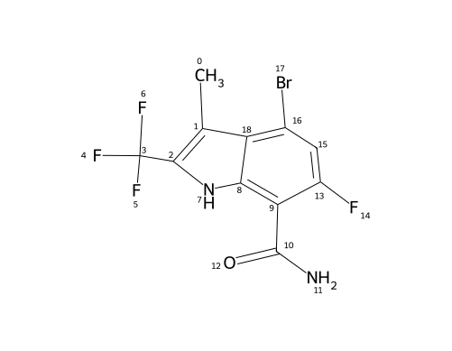 Cc1c(C(F)(F)F)[nH]c2c(C(N)=O)c(F)cc(Br)c12